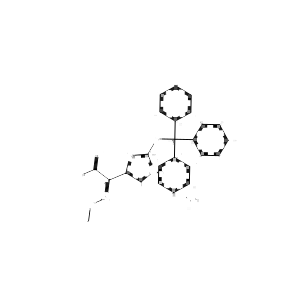 CO/N=C(\C(=O)O)c1csc(NC(c2ccccc2)(c2ccccc2)c2ccccc2)n1.[NaH]